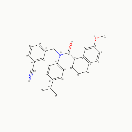 COc1ccc2c(c1)C(C(=O)N(Cc1cccc(C#N)c1)c1ccc(C(C)C)cc1)CCC2